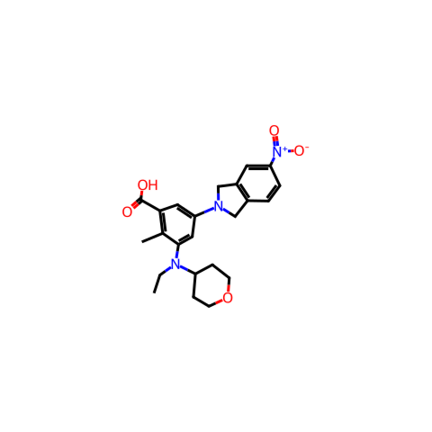 CCN(c1cc(N2Cc3ccc([N+](=O)[O-])cc3C2)cc(C(=O)O)c1C)C1CCOCC1